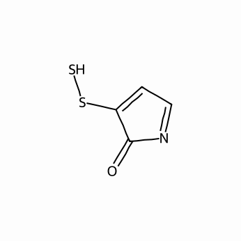 O=C1N=CC=C1SS